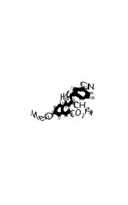 C=C(/C(C)=C\C(=C)c1ccc(OC)cc1/C=C/C(=O)O)c1cccc(C#N)c1